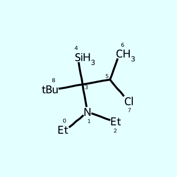 CCN(CC)C([SiH3])(C(C)Cl)C(C)(C)C